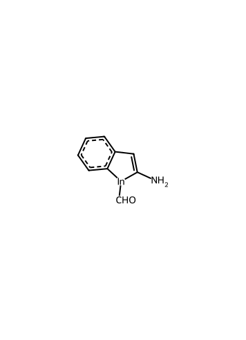 N[C]1=Cc2cccc[c]2[In]1[CH]=O